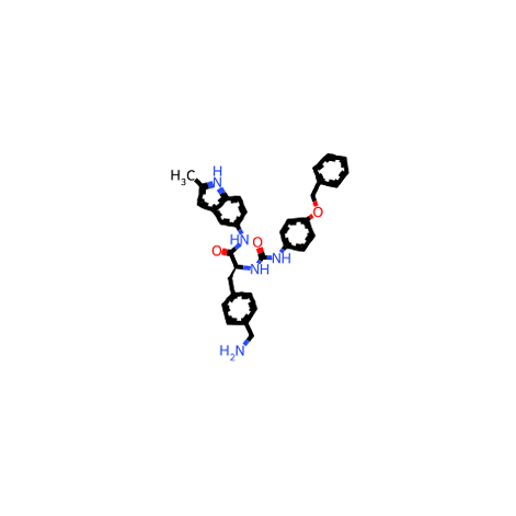 Cc1cc2cc(NC(=O)[C@H](Cc3ccc(CN)cc3)NC(=O)Nc3ccc(OCc4ccccc4)cc3)ccc2[nH]1